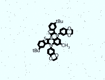 Cc1cc2c3c(c1)N(c1ccc4c(c1)OCCO4)c1c(sc4ccc(C(C)(C)C)cc14)B3c1sc3ccc(C(C)(C)C)cc3c1N2c1ccc2c(c1)OCCO2